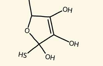 CC1OC(O)(S)C(O)=C1O